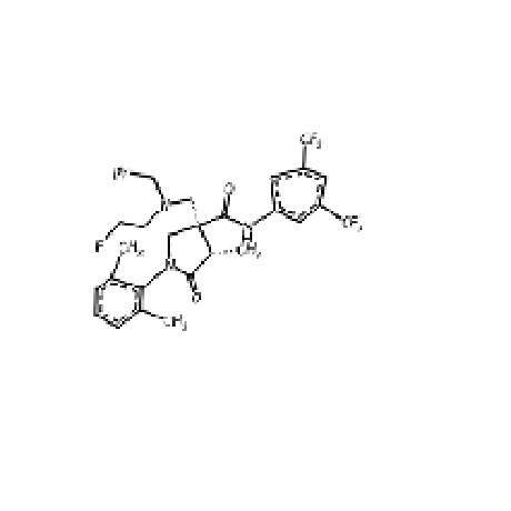 Cc1cccc(C)c1N1C[C@@](CN(CCF)CC(C)C)(C(=O)Nc2cc(C(F)(F)F)cc(C(F)(F)F)c2)[C@H](C)C1=O